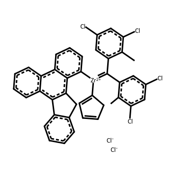 Cc1c(Cl)cc(Cl)cc1[C](c1cc(Cl)cc(Cl)c1C)=[Zr+2]([C]1=CC=CC1)[c]1cccc2c1c1c(c3ccccc32)-c2ccccc2C1.[Cl-].[Cl-]